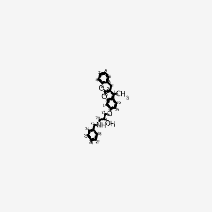 Cc1c(Cc2ccccc2)c(=O)oc2cc(OCC(O)CNCc3ccccc3)ccc12